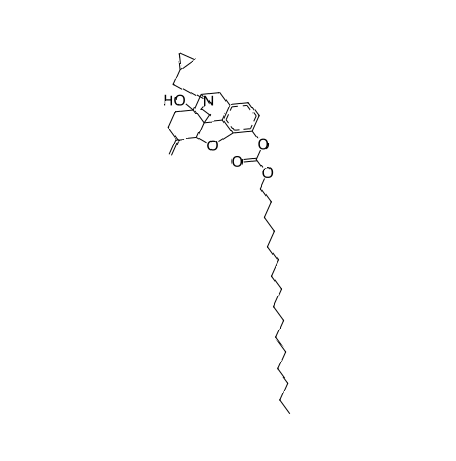 C=C1CCC2(O)C3Cc4ccc(OC(=O)OCCCCCCCCCCCCCCCC)c5c4C2(CCN3CC2CC2)C1O5